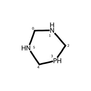 C1NCPCN1